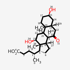 C[C@H](CCC(=O)O)[C@H]1CC[C@H]2[C@@H]3C(=O)C[C@H]4C[C@H](O)CC[C@]4(C)[C@H]3C[C@H](O)[C@@]12C